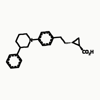 O=C(O)[C@@H]1C[C@H]1CCc1ccc(N2CCCC(c3ccccc3)C2)cc1